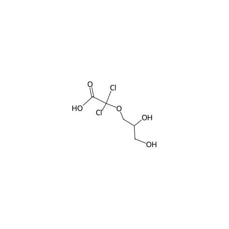 O=C(O)C(Cl)(Cl)OCC(O)CO